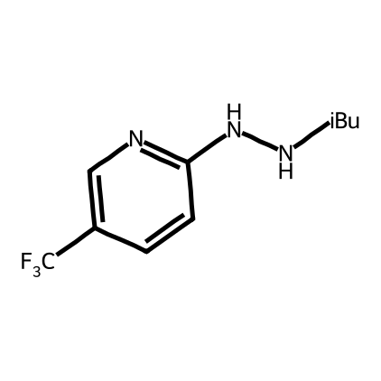 CCC(C)NNc1ccc(C(F)(F)F)cn1